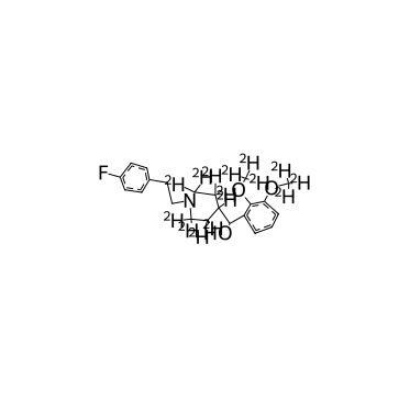 [2H]C([2H])([2H])Oc1cccc(C(O)C2([2H])C([2H])([2H])C([2H])([2H])N(CCc3ccc(F)cc3)C([2H])([2H])C2([2H])[2H])c1OC([2H])([2H])[2H]